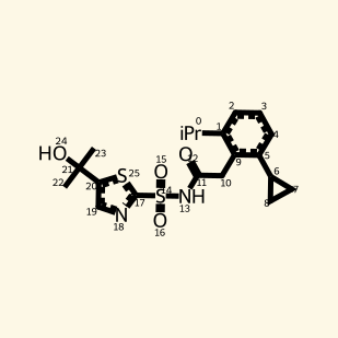 CC(C)c1cccc(C2CC2)c1CC(=O)NS(=O)(=O)c1ncc(C(C)(C)O)s1